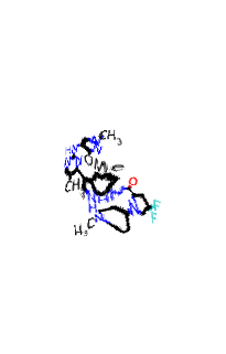 COc1nn(C)cc1Nc1ncc(C)c(-c2c[nH]c3c(NC(=O)[C@H]4CC(F)(F)CN4C4CCN(C)CC4)cccc23)n1